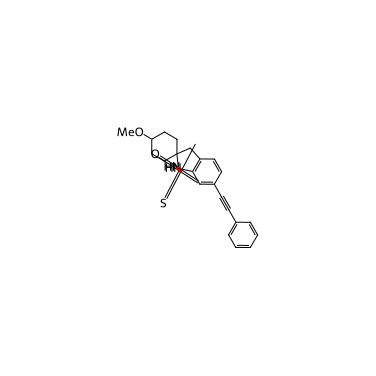 COC1CCC2(CC1)Cc1ccc(C#Cc3ccccc3)cc1C21NC(=S)NC1=O